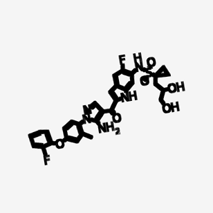 Cc1cc(Oc2ccccc2F)ccc1-n1ncc(C(=O)c2cc3cc(F)c(NS(=O)(=O)C4(CC(O)CO)CC4)cc3[nH]2)c1N